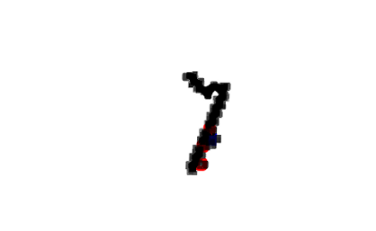 CCCCCC1CC1CC1CC1CCCCCCCCOCC(COCCCC(=O)CC)N(C)C